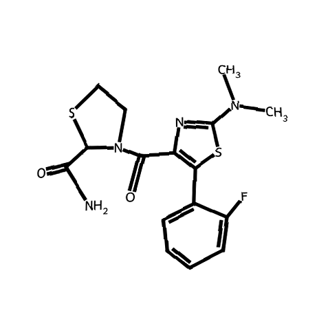 CN(C)c1nc(C(=O)N2CCSC2C(N)=O)c(-c2ccccc2F)s1